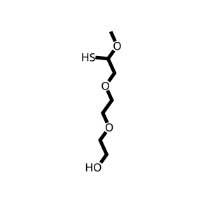 COC(S)COCCOCCO